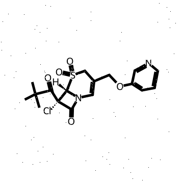 CC(C)(C)C(=O)[C@]1(Cl)C(=O)N2C=C(COc3cccnc3)CS(=O)(=O)[C@H]21